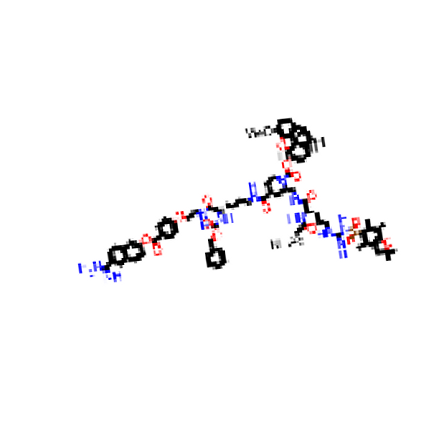 COc1ccc2c3c1O[C@H]1C(OC(=O)N4CCC(C(=O)NCCCC[C@H](NC(=O)OCc5ccccc5)C(=O)NCCOc5ccc(C(=O)Oc6ccc7cc(C(=N)N)ccc7c6)cc5)CC4CNC(=O)[C@@H](CCCNC(=N)NS(=O)(=O)c4c(C)c(C)c5c(c4C)CC(C)(C)O5)NC(=O)CNC(C)=O)=CC[C@H]4[C@H](CCC[C@]314)C2